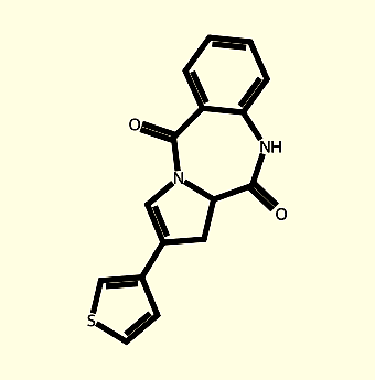 O=C1Nc2ccccc2C(=O)N2C=C(c3ccsc3)CC12